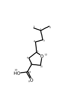 CC(C)CCC1CC(C(=O)O)CO1